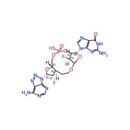 Nc1nc2c(ncn2[C@@H]2OC3OCC[C@H]4[C@H](F)[C@H](n5nnc6c(N)ncnc65)O[C@@H]4COP(=O)(S)O[C@@H]2[C@@H]3F)c(=O)[nH]1